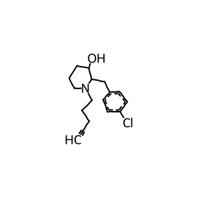 C#CCCCN1CCCC(O)C1Cc1ccc(Cl)cc1